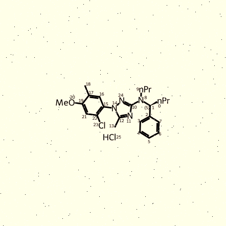 CCC[C@@H](c1ccccc1)N(CCC)c1nc(C)n(-c2cc(C)c(OC)cc2Cl)n1.Cl